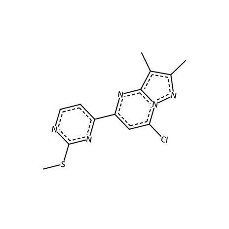 CSc1nccc(-c2cc(Cl)n3nc(C)c(C)c3n2)n1